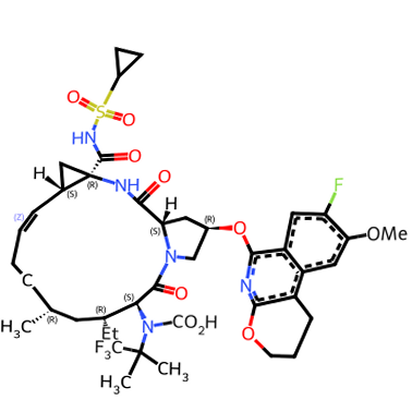 CC[C@@H]1C[C@H](C)CC/C=C\[C@@H]2C[C@@]2(C(=O)NS(=O)(=O)C2CC2)NC(=O)[C@@H]2C[C@@H](Oc3nc4c(c5cc(OC)c(F)cc35)CCCO4)CN2C(=O)[C@H]1N(C(=O)O)C(C)(C)C(F)(F)F